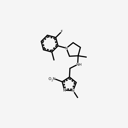 Cc1cccc(F)c1N1CCC(C)(NCc2cn(C)nc2[N+](=O)[O-])C1